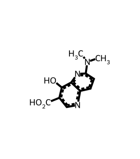 CN(C)c1ccc2ncc(C(=O)O)c(O)c2n1